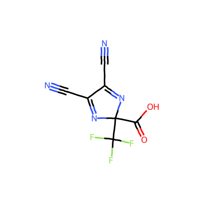 N#CC1=NC(C(=O)O)(C(F)(F)F)N=C1C#N